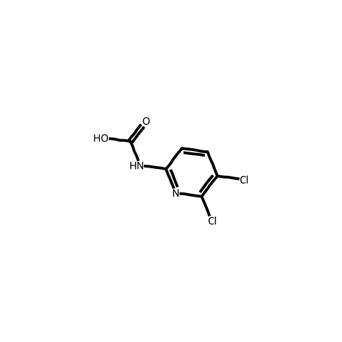 O=C(O)Nc1ccc(Cl)c(Cl)n1